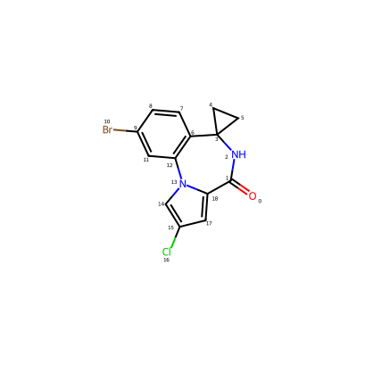 O=C1NC2(CC2)c2ccc(Br)cc2-n2cc(Cl)cc21